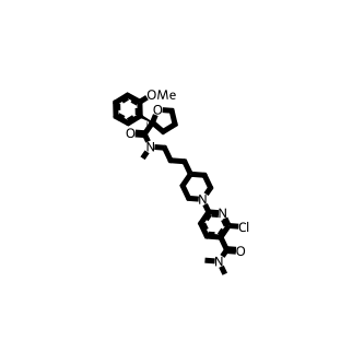 COc1ccccc1[C@]1(C(=O)N(C)CCCC2CCN(c3ccc(C(=O)N(C)C)c(Cl)n3)CC2)CCCO1